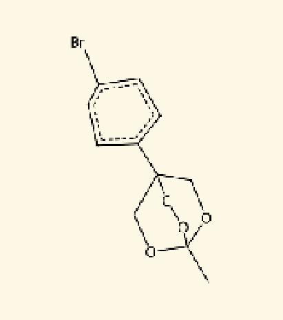 CC12OCC(c3ccc(Br)cc3)(CO1)CO2